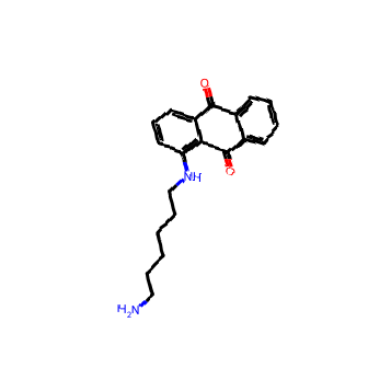 NCCCCCCNc1cccc2c1C(=O)c1ccccc1C2=O